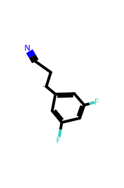 N#CC[CH]c1cc(F)cc(F)c1